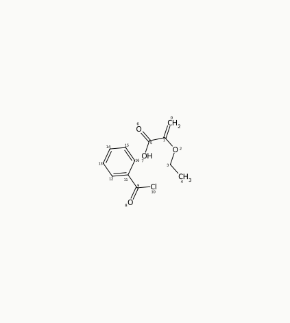 C=C(OCC)C(=O)O.O=C(Cl)c1ccccc1